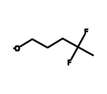 CC(F)(F)CCC[O]